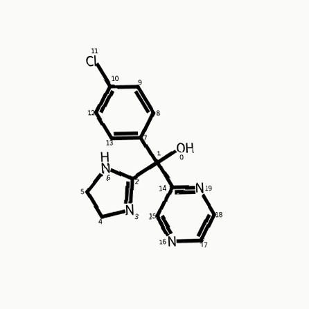 OC(C1=NCCN1)(c1ccc(Cl)cc1)c1cnccn1